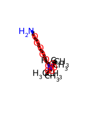 CC(C)(C)OC(=O)N(OCCOCCOCCOCCOCCOCCN)C(=O)OC(C)(C)C